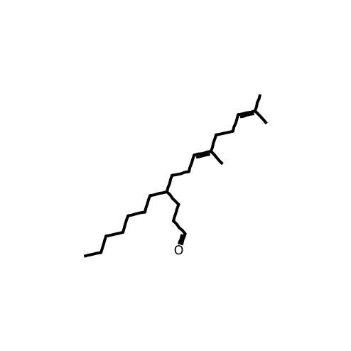 CCCCCCCC(CCC=O)CC/C=C(\C)CCC=C(C)C